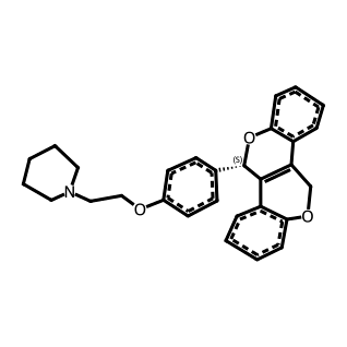 c1ccc2c(c1)O[C@@H](c1ccc(OCCN3CCCCC3)cc1)C1=C2COc2ccccc21